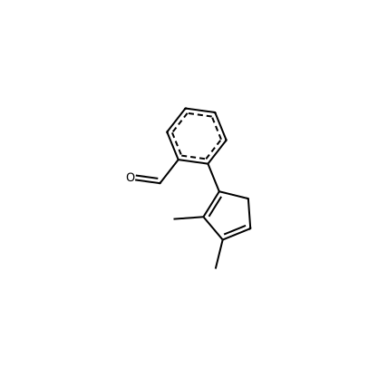 CC1=CCC(c2ccccc2C=O)=C1C